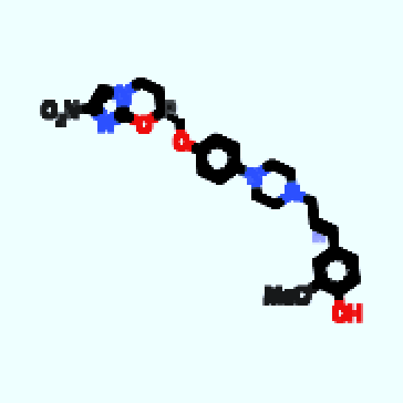 COc1cc(/C=C/CN2CCN(c3ccc(OC[C@H]4CCn5cc([N+](=O)[O-])nc5O4)cc3)CC2)ccc1O